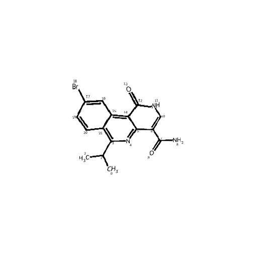 CC(C)c1nc2c(C(N)=O)c[nH]c(=O)c2c2cc(Br)ccc12